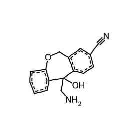 N#Cc1ccc2c(c1)COc1ccccc1C2(O)CN